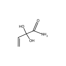 C=CC(O)(O)C(N)=O